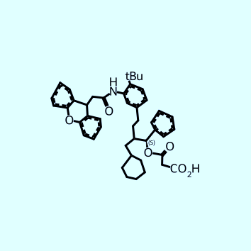 CC(C)(C)c1ccc(CCC(CC2CCCCC2)[C@H](OC(=O)CC(=O)O)c2ccccc2)cc1NC(=O)CC1c2ccccc2Oc2ccccc21